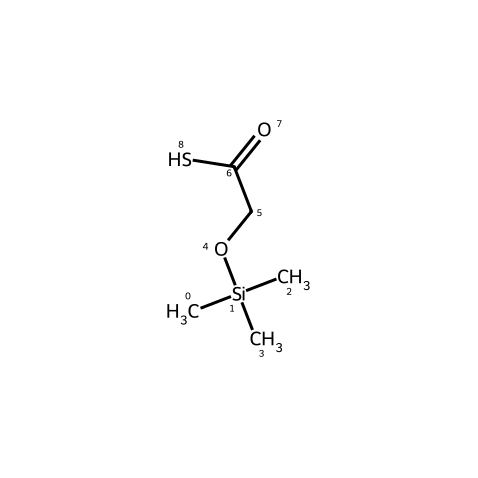 C[Si](C)(C)OCC(=O)S